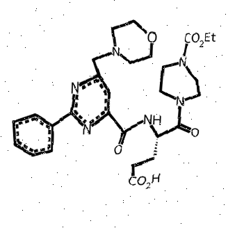 CCOC(=O)N1CCN(C(=O)[C@H](CCC(=O)O)NC(=O)c2cc(CN3CCOCC3)nc(-c3ccccc3)n2)CC1